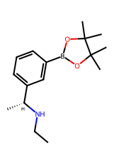 CCN[C@H](C)c1cccc(B2OC(C)(C)C(C)(C)O2)c1